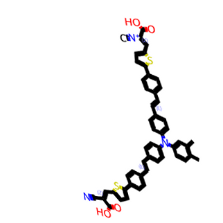 [C-]#[N+]/C(=C\c1ccc(-c2ccc(/C=C/c3ccc(N(c4ccc(/C=C/c5ccc(-c6ccc(/C=C(/C#N)C(=O)O)s6)cc5)cc4)c4ccc(C)c(C)c4)cc3)cc2)s1)C(=O)O